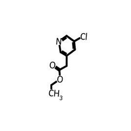 CCOC(=O)Cc1cncc(Cl)c1